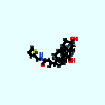 C[C@H](CC(=O)NCc1cccs1)[C@H]1CC[C@H]2[C@@H]3[C@@H](O)C[C@@H]4C[C@H](O)CC[C@]4(C)[C@H]3CC[C@]12C